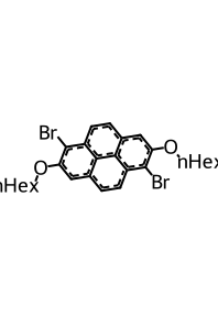 CCCCCCOc1cc2ccc3c(Br)c(OCCCCCC)cc4ccc(c1Br)c2c43